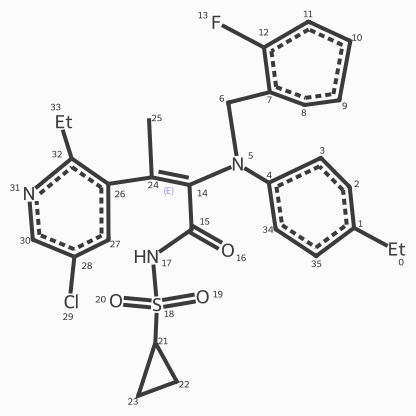 CCc1ccc(N(Cc2ccccc2F)/C(C(=O)NS(=O)(=O)C2CC2)=C(\C)c2cc(Cl)cnc2CC)cc1